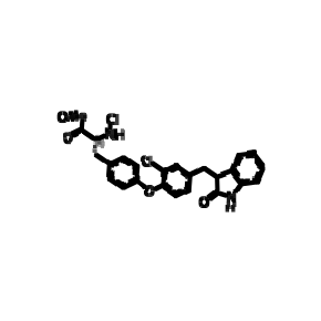 COC(=O)[C@@H](Cc1ccc(Oc2ccc(CC3C(=O)Nc4ccccc43)cc2Cl)cc1)NCl